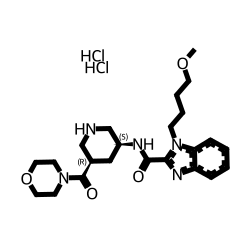 COCCCCn1c(C(=O)N[C@@H]2CNC[C@H](C(=O)N3CCOCC3)C2)nc2ccccc21.Cl.Cl